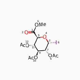 COC(=O)[C@H]1O[C@H](I)[C@H](OC(C)=O)[C@@H](OC(C)=O)[C@@H]1OC(C)=O